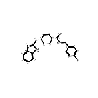 O=C(NCc1ccc(F)cc1)[C@H]1CC[C@H](Cc2nc3ccccc3[nH]2)CC1